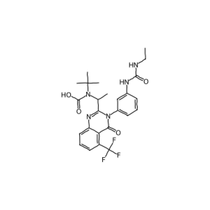 CCNC(=O)Nc1cccc(-n2c(C(C)N(C(=O)O)C(C)(C)C)nc3cccc(C(F)(F)F)c3c2=O)c1